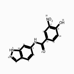 O=C(Nc1ccc2cn[nH]c2c1)c1ccc(O)c([N+](=O)[O-])c1